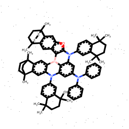 CC1(C)CCC(C)(C)c2cc(N3c4cc5c(cc4B4c6c3cc(N(c3ccccc3)c3ccccc3)cc6N(c3ccc6c(c3)C(C)(C)CCC6(C)C)c3oc6cc7c(cc6c34)C3(C)CCC7(C)CC3)C3(C)CCC5(C)CC3)ccc21